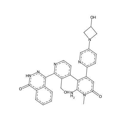 Cn1c(N)c(-c2ccnc(-c3n[nH]c(=O)c4ccccc34)c2CO)c(-c2ccc(N3CC(O)C3)cn2)cc1=O